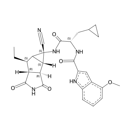 CC[C@H]1C2[C@@H]([C@H]3C(=O)NC(=O)[C@@H]31)[C@@]2(C#N)NC(=O)[C@H](CC1CC1)NC(=O)c1cc2c(OC)cccc2[nH]1